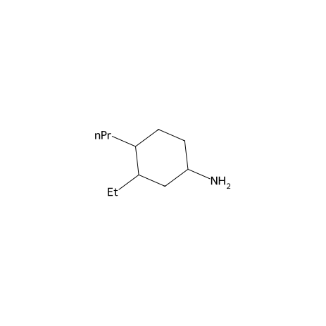 CCCC1CCC(N)CC1CC